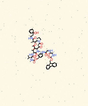 CC[C@H](C)[C@@H]([C@@H](CC(=O)N1CCC[C@H]1[C@H](OC)[C@@H](C)C(=O)N[C@H](C)C[C@]1(O)C=CC=CC1)OC)N(C)C(=O)[C@@H](NC(=O)[C@H](C(C)C)N(C)C(=O)OCc1ccc(NC(=O)[C@H](C)NC(=O)[C@H](C)NC(=O)OCC2c3ccccc3-c3ccccc32)cc1)C(C)C